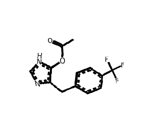 CC(=O)Oc1[nH]cnc1Cc1ccc(C(F)(F)F)cc1